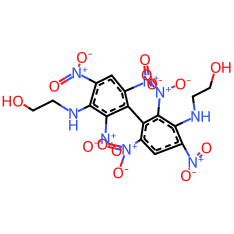 O=[N+]([O-])c1cc([N+](=O)[O-])c(-c2c([N+](=O)[O-])cc([N+](=O)[O-])c(NCCO)c2[N+](=O)[O-])c([N+](=O)[O-])c1NCCO